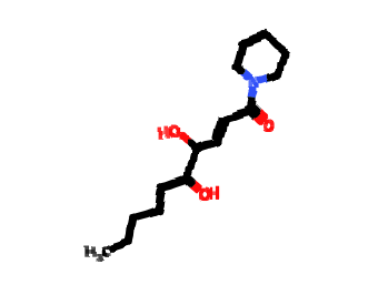 CCCCCC(O)C(O)C=CC(=O)N1CCCCC1